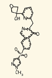 Cn1cc(S(=O)(=O)c2ccc3c(=O)n(Cc4cccc(C5(O)COC5)n4)ncc3c2)cn1